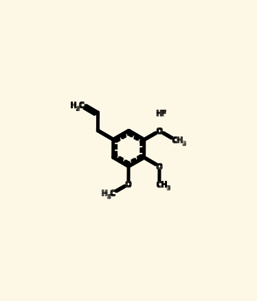 C=CCc1cc(OC)c(OC)c(OC)c1.F